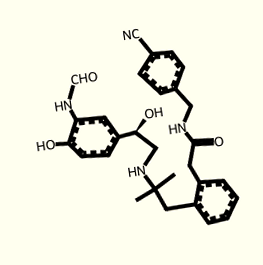 CC(C)(Cc1ccccc1CC(=O)NCc1ccc(C#N)cc1)NC[C@H](O)c1ccc(O)c(NC=O)c1